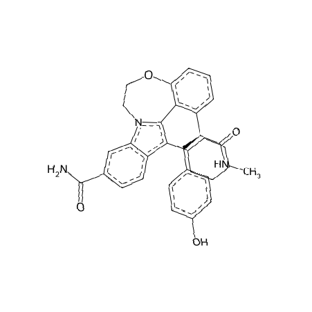 CNC(=O)[C@@H](Cc1ccc(O)cc1)c1cccc2c1-c1c(C3CCCCC3)c3ccc(C(N)=O)cc3n1CCO2